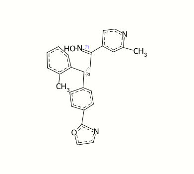 Cc1cc(/C(C[C@H](c2ccc(-c3ncco3)cc2)c2ccccc2C)=N/O)ccn1